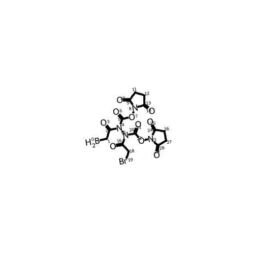 BCC(=O)N(C(=O)ON1C(=O)CCC1=O)N(C(=O)CBr)C(=O)ON1C(=O)CCC1=O